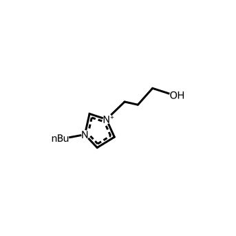 CCCCn1cc[n+](CCCO)c1